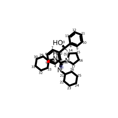 OC(c1ccccc1)(c1ccccc1)[C@@H]1CCCN1/C(=N\C1CCCCC1)NC1CCCCC1